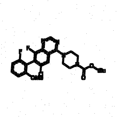 COc1cccc(F)c1-c1c(Cl)cc2c(N3CCN(C(=O)OC(C)(C)C)CC3)ncnc2c1F